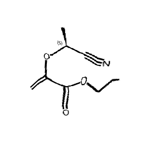 C=C(O[C@@H](C)C#N)C(=O)OCC